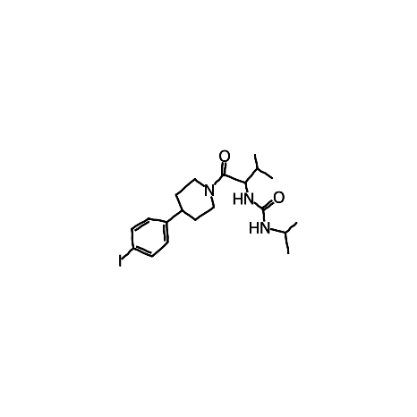 CC(C)NC(=O)NC(C(=O)N1CCC(c2ccc(I)cc2)CC1)C(C)C